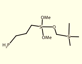 CO[Si](CCCP)(OC)OC[Si](C)(C)C